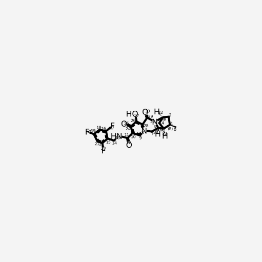 C[C@@H]1C[C@H]2C[C@@H]1[C@H]1Cn3cc(C(=O)NCc4c(F)cc(F)cc4F)c(=O)c(O)c3C(=O)N21